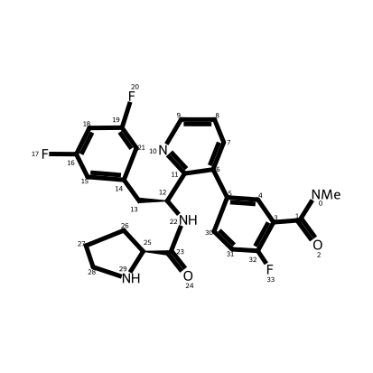 CNC(=O)c1cc(-c2cccnc2[C@H](Cc2cc(F)cc(F)c2)NC(=O)[C@@H]2CCCN2)ccc1F